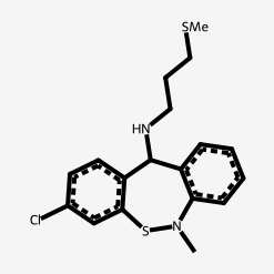 CSCCCNC1c2ccc(Cl)cc2SN(C)c2ccccc21